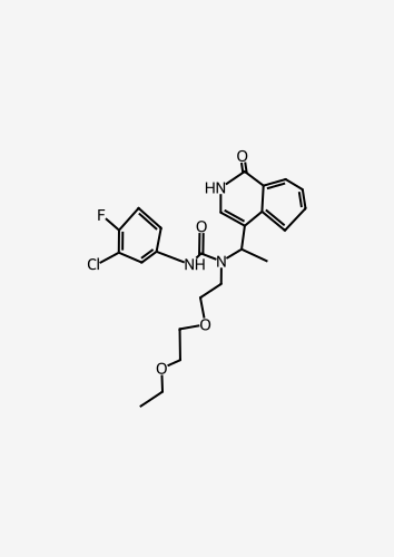 CCOCCOCCN(C(=O)Nc1ccc(F)c(Cl)c1)C(C)c1c[nH]c(=O)c2ccccc12